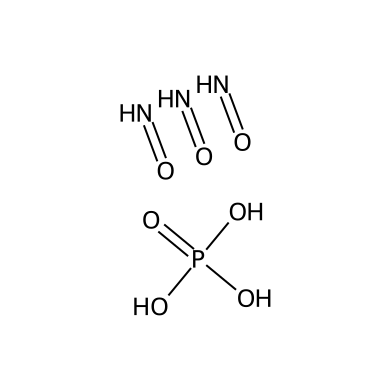 N=O.N=O.N=O.O=P(O)(O)O